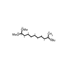 CCCCC(C)CCCCCCCC(OC)OC